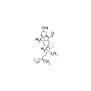 CC(C)CCC[C@@H](C)[C@H]1CCC2C3C(C=O)=C4C[C@@H](O)CC[C@]4(C)C3CC[C@@]21C